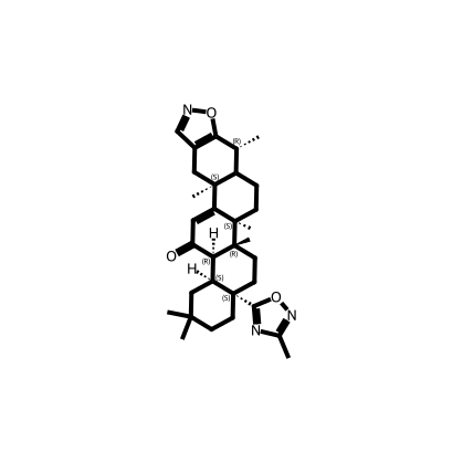 Cc1noc([C@]23CCC(C)(C)C[C@H]2[C@H]2C(=O)C=C4[C@@]5(C)Cc6cnoc6[C@H](C)C5CC[C@@]4(C)[C@]2(C)CC3)n1